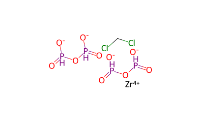 ClCCl.O=[PH]([O-])O[PH](=O)[O-].O=[PH]([O-])O[PH](=O)[O-].[Zr+4]